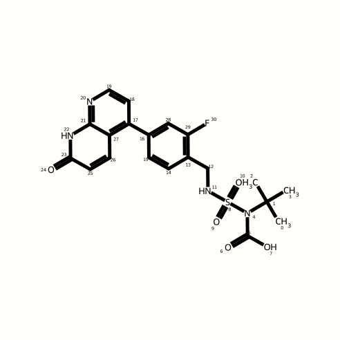 CC(C)(C)N(C(=O)O)S(=O)(=O)NCc1ccc(-c2ccnc3[nH]c(=O)ccc23)cc1F